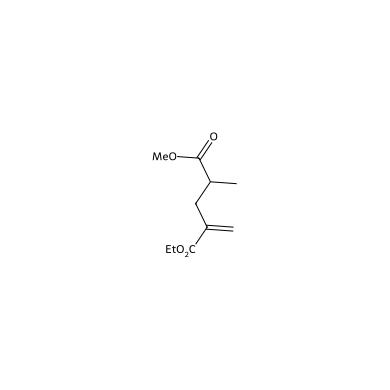 C=C(CC(C)C(=O)OC)C(=O)OCC